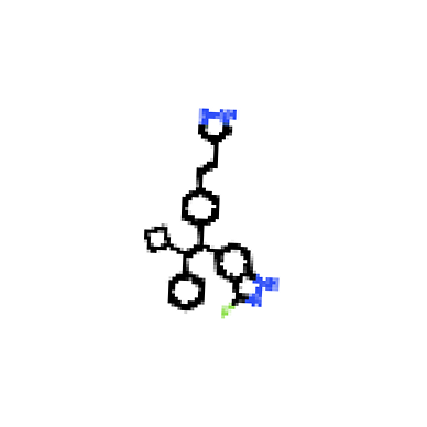 Fc1n[nH]c2ccc(C(=C(c3ccccc3)C3CCC3)c3ccc(C=Cc4cn[nH]c4)cc3)cc12